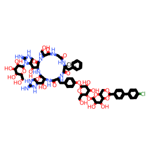 CC1(Cc2ccccc2)NC(=O)CNC(=O)C(CO)NC(=O)C(C(O)C2CNC(=N)N2C2OC(CO)C(O)C(O)C2O)NC(=O)C(C(O)C2CNC(=N)N2)NC(=O)C(Cc2ccc(OC3OC(CO)C(OC4OC5COC(c6ccc(-c7ccc(Cl)cc7)cc6)OC5C(O)C4O)C(O)C3O)cc2)NC1=O